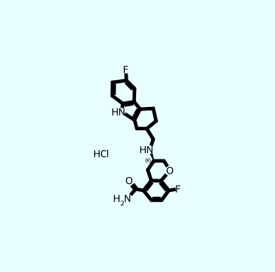 Cl.NC(=O)c1ccc(F)c2c1C[C@@H](NCC1CCc3c([nH]c4ccc(F)cc34)C1)CO2